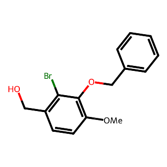 COc1ccc(CO)c(Br)c1OCc1ccccc1